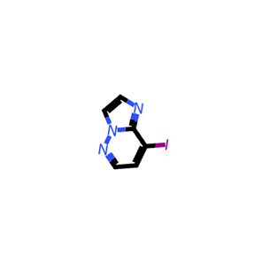 Ic1ccnn2ccnc12